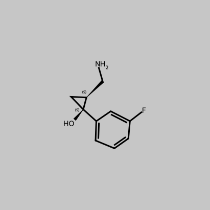 NC[C@@H]1C[C@@]1(O)c1cccc(F)c1